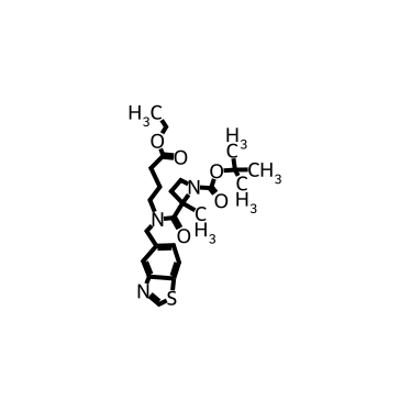 CCOC(=O)CCCN(Cc1ccc2scnc2c1)C(=O)C1(C)CCN1C(=O)OC(C)(C)C